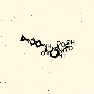 O=C(NC1CC2(C1)CN(C1CC1)C2)[C@@H]1CC[C@@H]2CN1C(=O)N2OS(=O)(=O)O